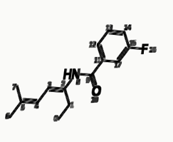 CC/C(=C\C=C(C)C)NC(=O)c1cccc(F)c1